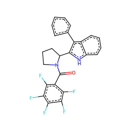 O=C(c1c(F)c(F)c(F)c(F)c1F)N1CCCC1c1[nH]c2ccccc2c1-c1ccccc1